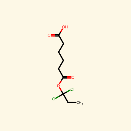 CCC(Cl)(Cl)OC(=O)CCCCC(=O)O